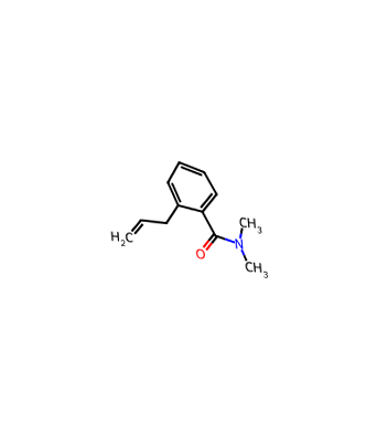 C=CCc1ccccc1C(=O)N(C)C